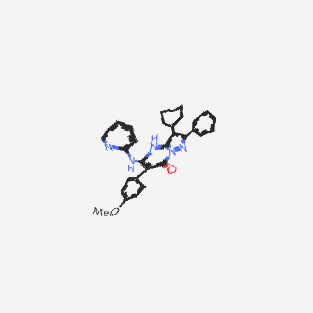 COc1ccc(-c2c(Nc3ccccn3)[nH]c3c(C4=CCCCC4)c(-c4ccccc4)nn3c2=O)cc1